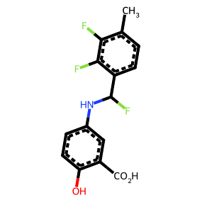 Cc1ccc(C(F)Nc2ccc(O)c(C(=O)O)c2)c(F)c1F